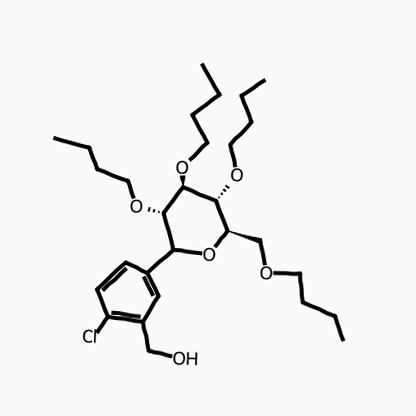 CCCCOC[C@H]1OC(c2ccc(Cl)c(CO)c2)[C@H](OCCCC)[C@@H](OCCCC)[C@@H]1OCCCC